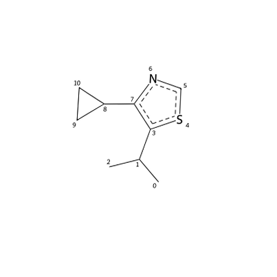 CC(C)c1scnc1C1CC1